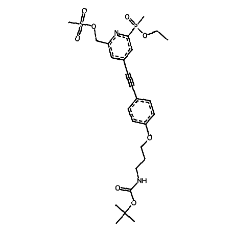 CCOP(C)(=O)c1cc(C#Cc2ccc(OCCCNC(=O)OC(C)(C)C)cc2)cc(COS(C)(=O)=O)n1